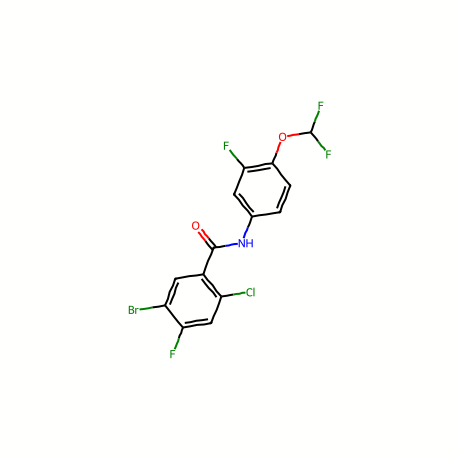 O=C(Nc1ccc(OC(F)F)c(F)c1)c1cc(Br)c(F)cc1Cl